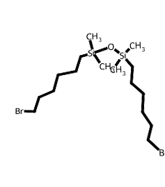 C[Si](C)(CCCCCCBr)O[Si](C)(C)CCCCCCBr